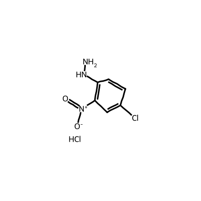 Cl.NNc1ccc(Cl)cc1[N+](=O)[O-]